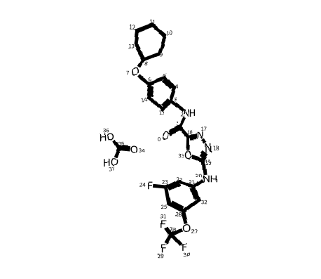 O=C(Nc1ccc(OC2CCCCC2)cc1)c1nnc(Nc2cc(F)cc(OC(F)(F)F)c2)o1.O=C(O)O